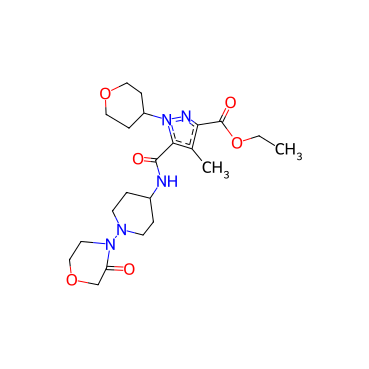 CCOC(=O)c1nn(C2CCOCC2)c(C(=O)NC2CCN(N3CCOCC3=O)CC2)c1C